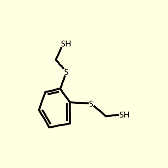 SCSc1ccccc1SCS